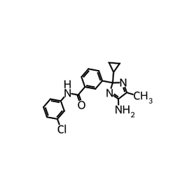 CC1=NC(c2cccc(C(=O)Nc3cccc(Cl)c3)c2)(C2CC2)N=C1N